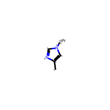 CCCn1cnc(C)c1